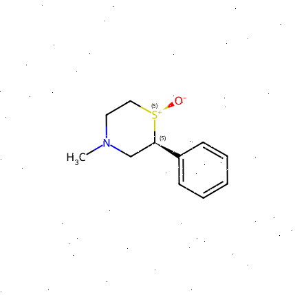 CN1CC[S@@+]([O-])[C@@H](c2ccccc2)C1